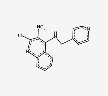 O=[N+]([O-])c1c(Cl)nc2ccccc2c1NCc1ccncc1